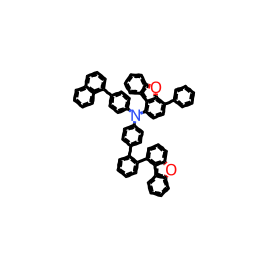 c1ccc(-c2ccc(N(c3ccc(-c4ccccc4-c4cccc5oc6ccccc6c45)cc3)c3ccc(-c4cccc5ccccc45)cc3)c3c2oc2ccccc23)cc1